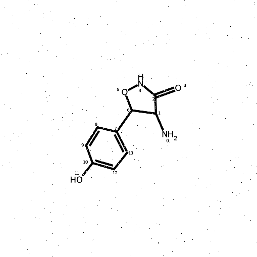 NC1C(=O)NOC1c1ccc(O)cc1